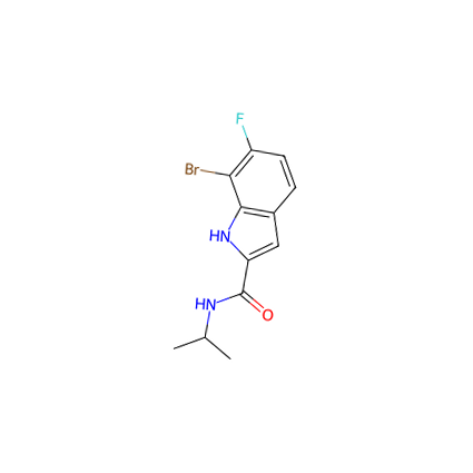 CC(C)NC(=O)c1cc2ccc(F)c(Br)c2[nH]1